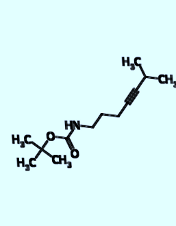 CC(C)C#CCCCNC(=O)OC(C)(C)C